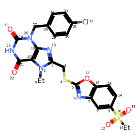 CCn1c(CSc2nc3cc(S(=O)(=O)CC)ccc3o2)nc2c1c(=O)[nH]c(=O)n2Cc1ccc(Cl)cc1